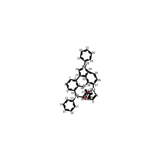 C1=CN2C3=P45c6c(cccc6N(c6ccccc6)c6cccc(c64)N13)-c1cn(-c3ccccc3)c3ccc2c5c13